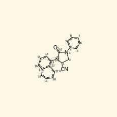 N#CC1CN(c2ccccc2)C(=O)N1c1cccc2ccccc12